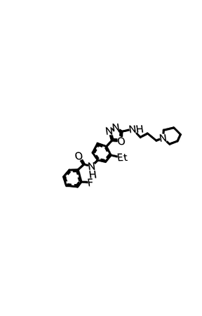 CCc1cc(NC(=O)c2ccccc2F)ccc1-c1nnc(NCCCN2CCCCC2)o1